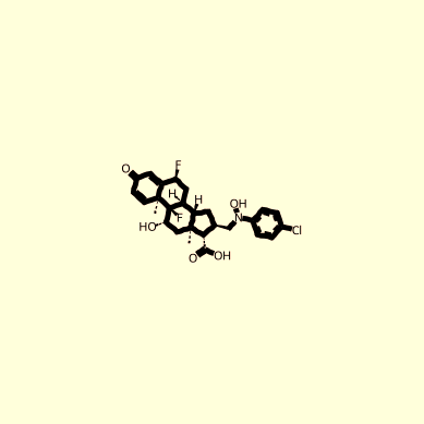 C[C@]12C[C@H](O)[C@@]3(F)[C@@H](C[C@H](F)C4=CC(=O)C=C[C@@]43C)[C@@H]1C[C@@H](CN(O)c1ccc(Cl)cc1)[C@@H]2C(=O)O